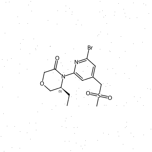 CC[C@H]1COCC(=O)N1c1cc(CS(C)(=O)=O)cc(Br)n1